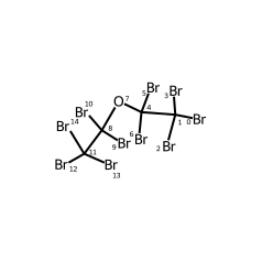 BrC(Br)(Br)C(Br)(Br)OC(Br)(Br)C(Br)(Br)Br